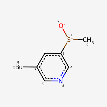 C[S+]([O-])c1cncc(C(C)(C)C)c1